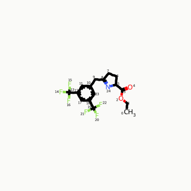 CCOC(=O)C1CCC(Cc2cc(C(F)(F)F)cc(C(F)(F)F)c2)=N1